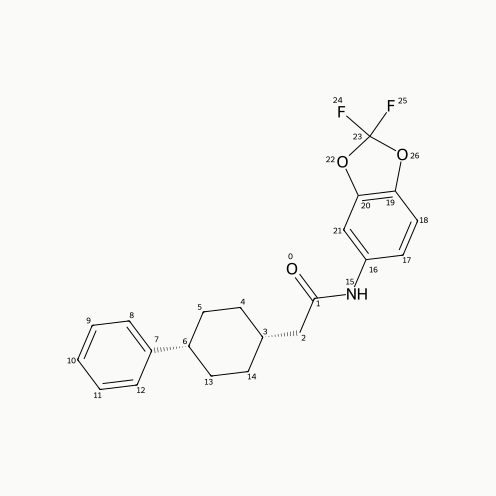 O=C(C[C@H]1CC[C@@H](c2ccccc2)CC1)Nc1ccc2c(c1)OC(F)(F)O2